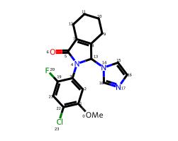 COc1cc(N2C(=O)C3=C(CCCC3)C2n2ccnc2)c(F)cc1Cl